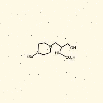 CC(C)(C)N1CCN(CC(CO)NC(=O)O)CC1